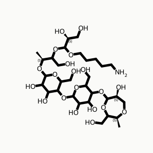 C[C@@H]1OC[C@H](O)C(OC2C(CO)OC(OC3C(CO)OC(O[C@@H](C)C(CO)OC(OCCCCCN)[C@@H](O)CO)C(O)C3O)C(O)C2O)OC1CO